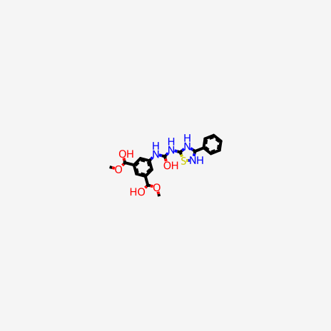 COC(O)c1cc(NC(O)NC2NC(c3ccccc3)NS2)cc(C(O)OC)c1